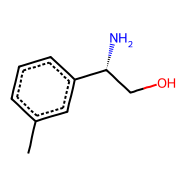 Cc1cccc([C@H](N)CO)c1